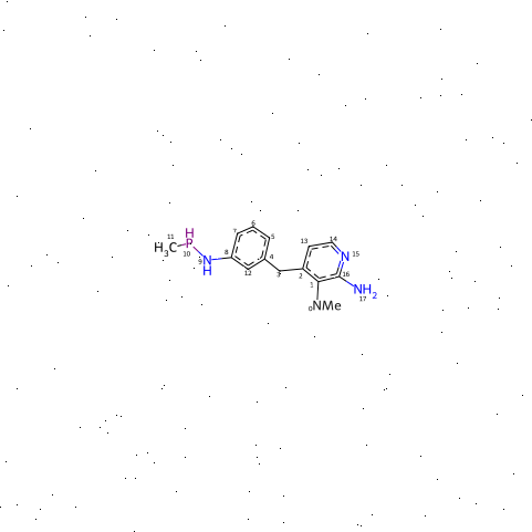 CNc1c(Cc2cccc(NPC)c2)ccnc1N